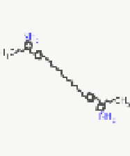 CCCCc1cc(N)ccc1Cc1ccc(CCCCCCCCCCCCCCCCc2ccc(Cc3ccc(N)cc3CCCC)cc2)cc1